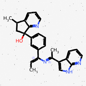 C/C=C(\N=C(/C)c1c[nH]c2ncccc12)c1cccc(C2(O)CC(C)c3cccnc32)c1